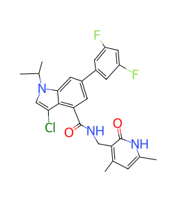 Cc1cc(C)c(CNC(=O)c2cc(-c3cc(F)cc(F)c3)cc3c2c(Cl)cn3C(C)C)c(=O)[nH]1